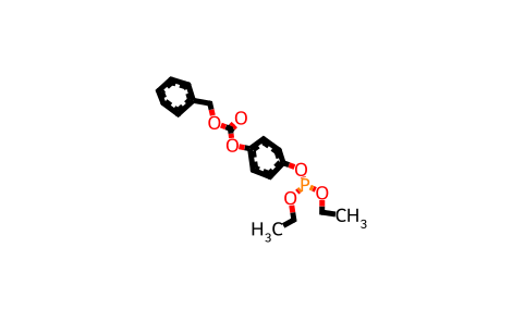 CCOP(OCC)Oc1ccc(OC(=O)OCc2ccccc2)cc1